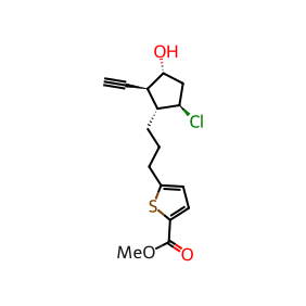 C#C[C@@H]1[C@@H](CCCc2ccc(C(=O)OC)s2)[C@H](Cl)C[C@H]1O